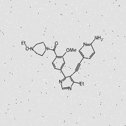 CCON1CCN(C(=O)c2ccc(-c3ncnc(CC)c3C#Cc3ccc(N)nc3)cc2OC)CC1